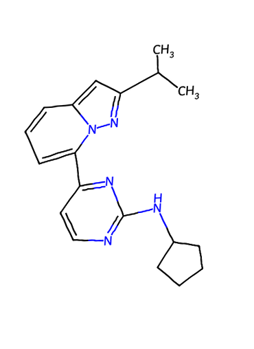 CC(C)c1cc2cccc(-c3ccnc(NC4CCCC4)n3)n2n1